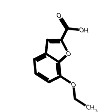 CCOc1cccc2cc(C(=O)O)oc12